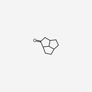 O=C1CC2CCC3CCC1C32